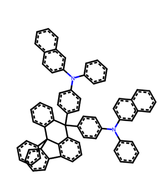 c1ccc(N(c2ccc(C3(c4ccc(N(c5ccccc5)c5ccc6ccccc6c5)cc4)c4ccccc4C4(c5ccccc5)c5ccccc5-c5cccc3c54)cc2)c2ccc3ccccc3c2)cc1